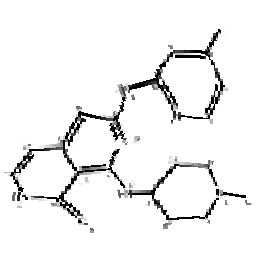 Cc1ccnc(Nc2cc3cc[nH]c(=O)c3c(NC3CCN(C)CC3)n2)c1